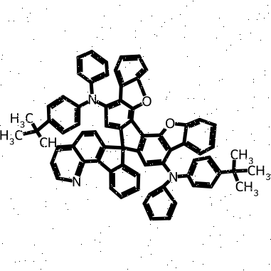 CC(C)(C)c1ccc(N(c2ccccc2)c2cc3c(c4oc5ccccc5c24)-c2c(cc(N(c4ccccc4)c4ccc(C(C)(C)C)cc4)c4c2oc2ccccc24)C32c3ccccc3-c3c2ccc2cccnc32)cc1